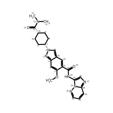 COc1cc2nn([C@H]3CC[C@@H](C(=O)N(C)C)CC3)cc2cc1C(=O)Nc1cnc2cccnn12